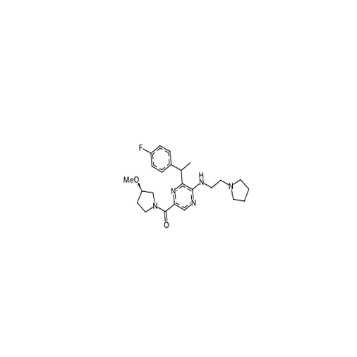 CO[C@@H]1CCN(C(=O)c2cnc(NCCN3CCCC3)c(C(C)c3ccc(F)cc3)n2)C1